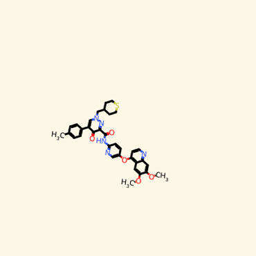 COc1cc2nccc(Oc3ccc(NC(=O)c4nn(CC5CCSCC5)cc(-c5ccc(C)cc5)c4=O)nc3)c2cc1OC